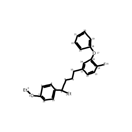 CCOc1ccc(C(CC)CCCc2ccc(F)c(Oc3ccccc3)c2)cc1